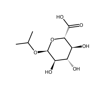 CC(C)O[C@H]1O[C@H](C(=O)O)[C@@H](O)[C@H](O)[C@H]1O